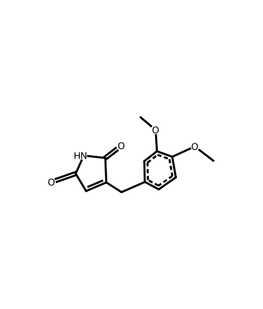 COc1ccc(CC2=CC(=O)NC2=O)cc1OC